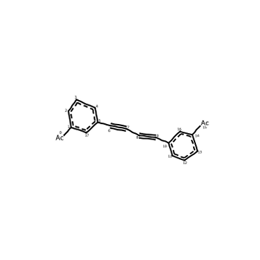 CC(=O)c1cccc(C#CC#Cc2cccc(C(C)=O)c2)c1